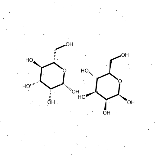 OC[C@@H]1O[C@H](O)[C@H](O)[C@H](O)[C@H]1O.OC[C@H]1O[C@@H](O)[C@@H](O)[C@@H](O)[C@@H]1O